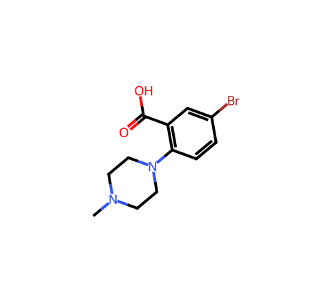 CN1CCN(c2ccc(Br)cc2C(=O)O)CC1